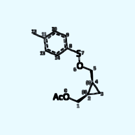 CC(=O)OC[C@@H]1C[C@@H]1COSc1ccc(C)cc1